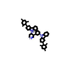 Cc1cc(C)c(-c2ccc3c(c2)c2ccccc2n3-c2ccc(C#N)c(-c3cnccc3-n3c4ccccc4c4cc(-c5c(C)cc(C)cc5C)ccc43)c2)c(C)c1